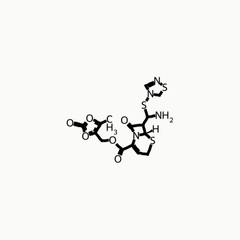 Cc1oc(=O)oc1COC(=O)C1=CCS[C@H]2C(C(N)SN3C=NSC3)C(=O)N12